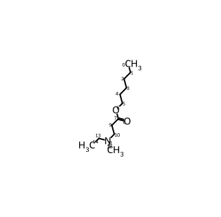 CCCCCCOC(=O)CCN(C)CC